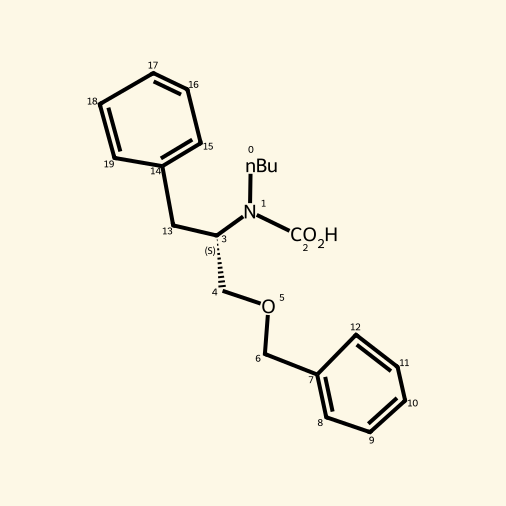 CCCCN(C(=O)O)[C@H](COCc1ccccc1)Cc1ccccc1